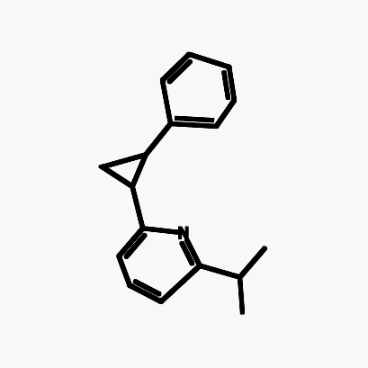 CC(C)c1cccc(C2CC2c2ccccc2)n1